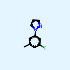 Cc1[c]c(-n2cccn2)cc(F)c1